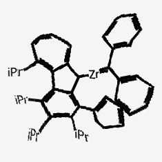 CC(C)c1cccc2c1-c1c(C(C)C)c(C(C)C)c(C(C)C)c(C3=CC=CC3)c1[CH]2[Zr]=[C](c1ccccc1)c1ccccc1